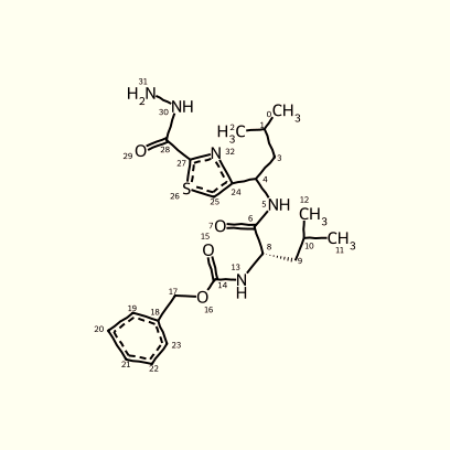 CC(C)CC(NC(=O)[C@H](CC(C)C)NC(=O)OCc1ccccc1)c1csc(C(=O)NN)n1